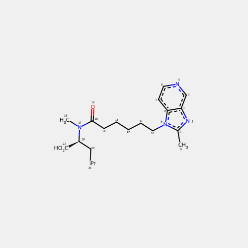 Cc1nc2cnccc2n1CCCCCC(=O)N(C)[C@@H](CC(C)C)C(=O)O